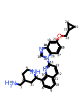 NCC1CCNC(c2cccc3ccc(-n4cnc5cc(OCC6CC6)ccc54)nc23)C1